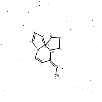 C/N=C(\C=C/n1cccn1)N1CCCC1